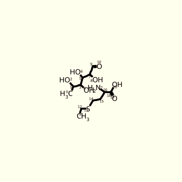 CC(O)C(O)C(O)C(O)C=O.CCSCCC(N)C(=O)O